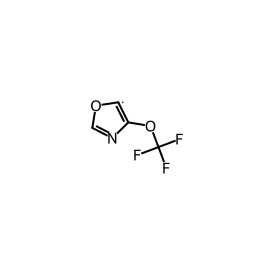 FC(F)(F)Oc1[c]ocn1